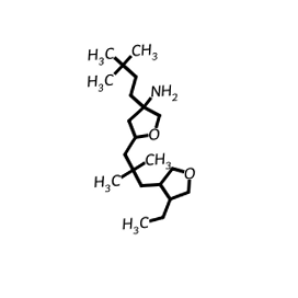 CCC1COCC1CC(C)(C)CC1CC(N)(CCC(C)(C)C)CO1